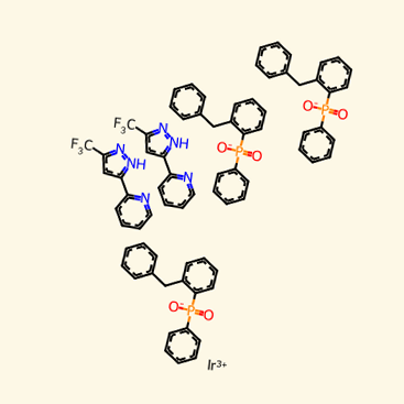 FC(F)(F)c1cc(-c2ccccn2)[nH]n1.FC(F)(F)c1cc(-c2ccccn2)[nH]n1.O=P([O-])(c1ccccc1)c1ccccc1Cc1ccccc1.O=P([O-])(c1ccccc1)c1ccccc1Cc1ccccc1.O=P([O-])(c1ccccc1)c1ccccc1Cc1ccccc1.[Ir+3]